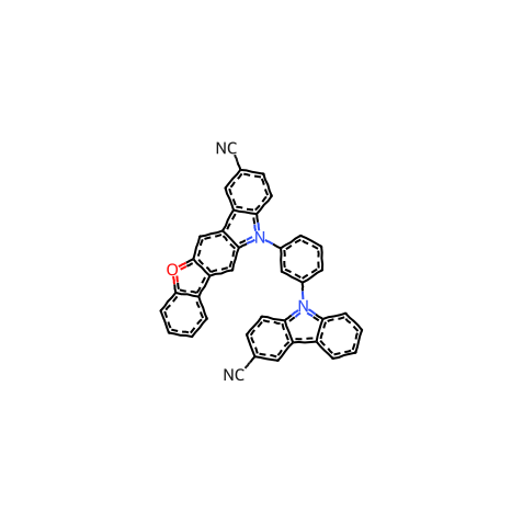 N#Cc1ccc2c(c1)c1ccccc1n2-c1cccc(-n2c3ccc(C#N)cc3c3cc4oc5ccccc5c4cc32)c1